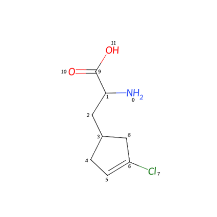 NC(CC1CC=C(Cl)C1)C(=O)O